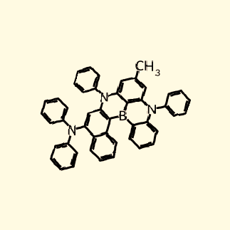 Cc1cc2c3c(c1)N(c1ccccc1)c1cc(N(c4ccccc4)c4ccccc4)c4ccccc4c1B3c1ccccc1N2c1ccccc1